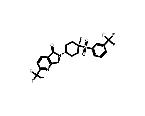 O=C1c2ccc(C(F)(F)F)nc2CN1[C@H]1CC[C@@](F)(S(=O)(=O)c2cccc(C(F)(F)F)c2)CC1